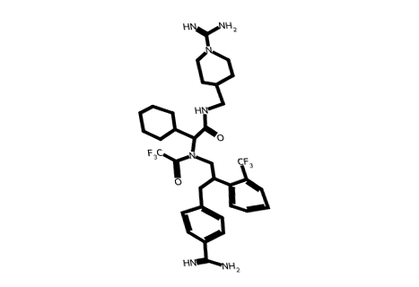 N=C(N)c1ccc(CC(CN(C(=O)C(F)(F)F)C(C(=O)NCC2CCN(C(=N)N)CC2)C2CCCCC2)c2ccccc2C(F)(F)F)cc1